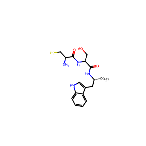 N[C@@H](CS)C(=O)N[C@@H](CO)C(=O)N[C@@H](Cc1c[nH]c2ccccc12)C(=O)O